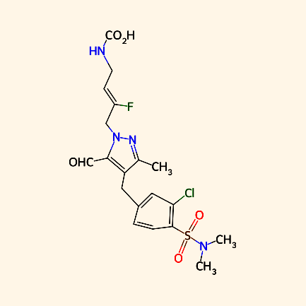 Cc1nn(CC(F)=CCNC(=O)O)c(C=O)c1Cc1ccc(S(=O)(=O)N(C)C)c(Cl)c1